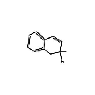 BrC1(I)C=Cc2ccccc2C1